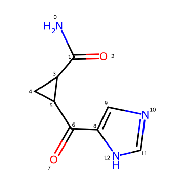 NC(=O)C1CC1C(=O)c1cnc[nH]1